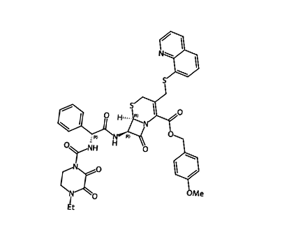 CCN1CCN(C(=O)N[C@@H](C(=O)N[C@@H]2C(=O)N3C(C(=O)OCc4ccc(OC)cc4)=C(CSc4cccc5cccnc45)CS[C@H]23)c2ccccc2)C(=O)C1=O